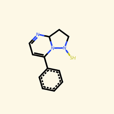 SN1CCC2N=CC=C(c3ccccc3)N21